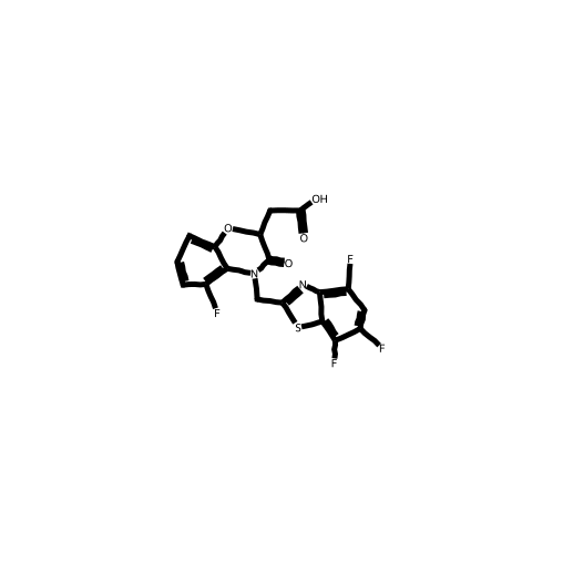 O=C(O)CC1Oc2cccc(F)c2N(Cc2nc3c(F)cc(F)c(F)c3s2)C1=O